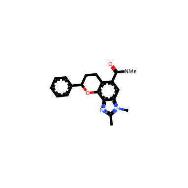 CNC(=O)c1cc2c(nc(C)n2C)c2c1CCC(c1ccccc1)O2